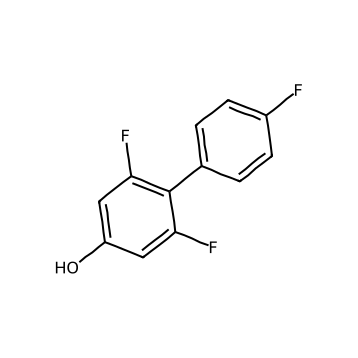 Oc1cc(F)c(-c2ccc(F)cc2)c(F)c1